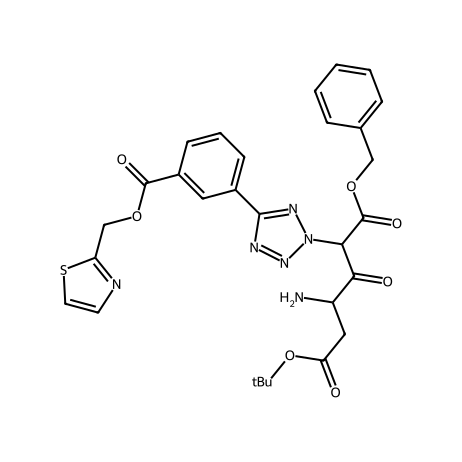 CC(C)(C)OC(=O)CC(N)C(=O)C(C(=O)OCc1ccccc1)n1nnc(-c2cccc(C(=O)OCc3nccs3)c2)n1